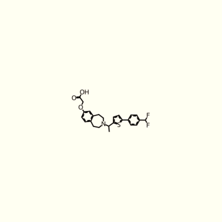 CC(c1ccc(-c2ccc(C(F)F)cc2)s1)N1CCc2ccc(OCC(=O)O)cc2CC1